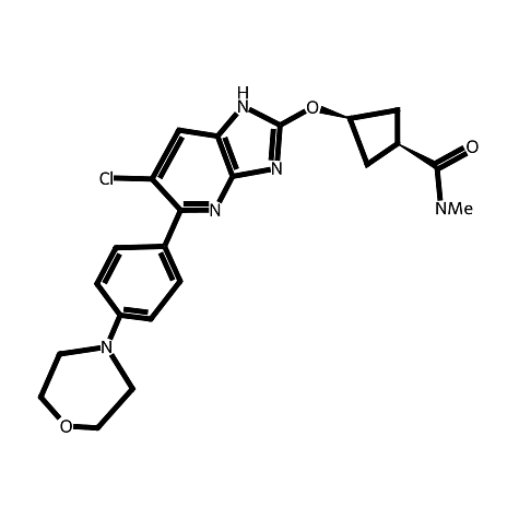 CNC(=O)[C@H]1C[C@@H](Oc2nc3nc(-c4ccc(N5CCOCC5)cc4)c(Cl)cc3[nH]2)C1